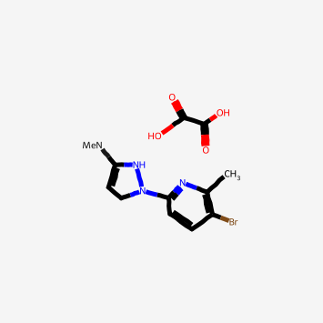 CNC1=CCN(c2ccc(Br)c(C)n2)N1.O=C(O)C(=O)O